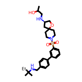 CCC(C)(C)NCc1ccc(-c2cccc(S(=O)(=O)N3CCC4(CC3)C[C@@H](NCC(C)O)CO4)c2)cc1